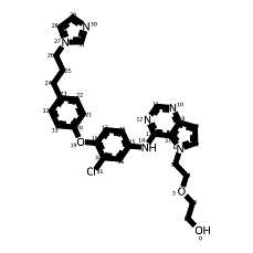 OCCOCCn1ccc2ncnc(Nc3ccc(Oc4ccc(CCCn5ccnc5)cc4)c(Cl)c3)c21